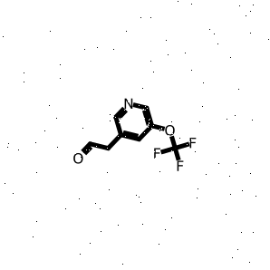 O=CCc1cncc(OC(F)(F)F)c1